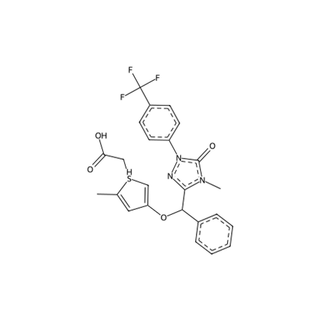 CC1=CC(OC(c2ccccc2)c2nn(-c3ccc(C(F)(F)F)cc3)c(=O)n2C)=C[SH]1CC(=O)O